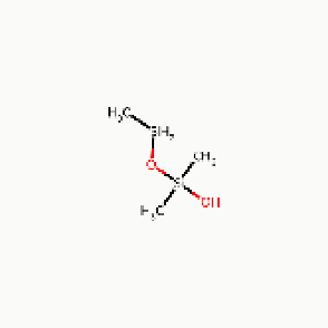 C[SiH2]O[Si](C)(C)O